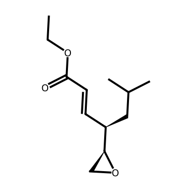 CCOC(=O)/C=C/[C@@H](CC(C)C)[C@@H]1CO1